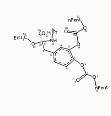 CCCCCOC(=O)Oc1ccc(C[C@](NC(C)C)(OC(=O)OCC)C(=O)O)cc1OC(=O)OCCCCC